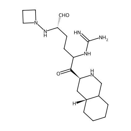 N=C(N)NC(CC[C@@H](C=O)NN1CCC1)C(=O)[C@@H]1C[C@H]2CCCCC2CN1